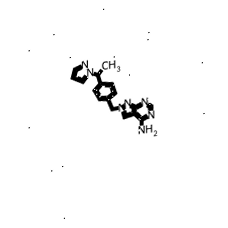 CC(c1ccc(Cn2cc3c(N)ncnc3n2)cc1)n1cccn1